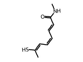 CNC(=O)/C=C/C=C\C=C(/C)S